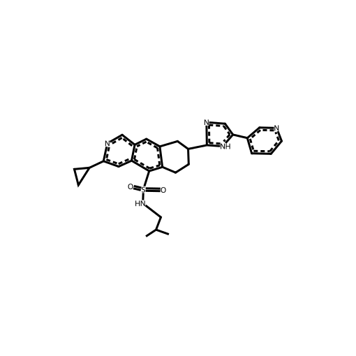 CC(C)CNS(=O)(=O)c1c2c(cc3cnc(C4CC4)cc13)CC(c1ncc(-c3cccnc3)[nH]1)CC2